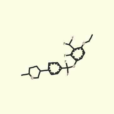 CCOc1ccc(OC(F)(F)c2ccc(C3CCC(C)OC3)cc2)c(F)c1C(F)F